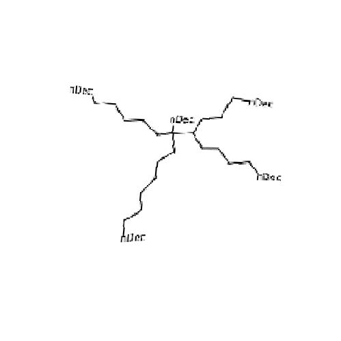 CCCCCCCCCCCCCCCCC(CCCCCCCCCC)(CCCCCCCCCCCCCCC)[C](CCCCCCCCCCCCC)CCCCCCCCCCCCCC